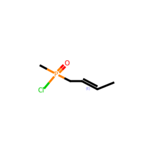 C/C=C/CP(C)(=O)Cl